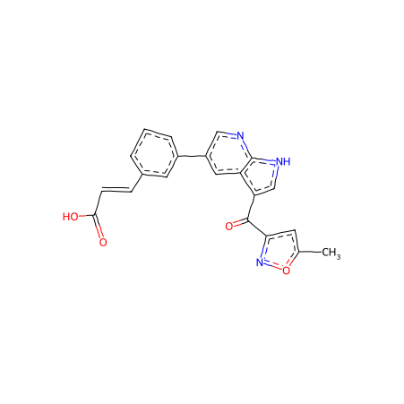 Cc1cc(C(=O)c2c[nH]c3ncc(-c4cccc(C=CC(=O)O)c4)cc23)no1